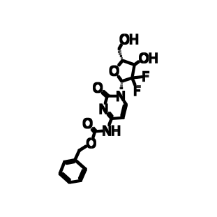 O=C(Nc1ccn([C@@H]2O[C@H](CO)C(O)C2(F)F)c(=O)n1)OCc1ccccc1